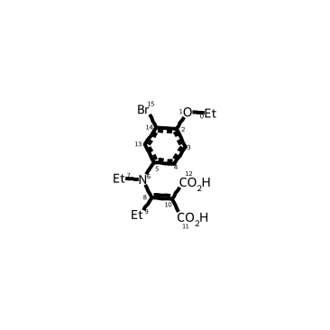 CCOc1ccc(N(CC)C(CC)=C(C(=O)O)C(=O)O)cc1Br